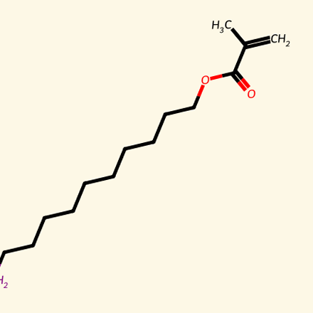 C=C(C)C(=O)OCCCCCCCCCCP